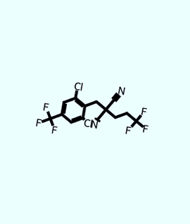 N#CC(C#N)(CCC(F)(F)F)Cc1c(Cl)cc(C(F)(F)F)cc1Cl